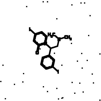 CN(C)CC(c1cccc(I)c1)n1ccc(I)cc1=O